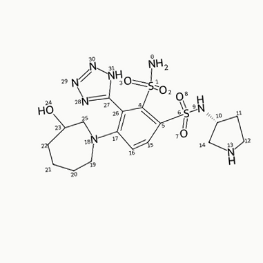 NS(=O)(=O)c1c(S(=O)(=O)N[C@@H]2CCNC2)ccc(N2CCCCC(O)C2)c1-c1nnn[nH]1